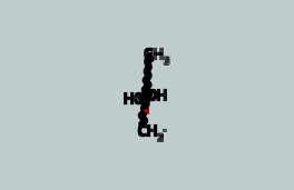 [CH2]CCCCCCC(O)C(O)CCCCCCCCC